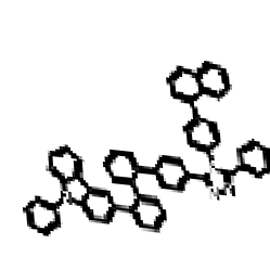 c1ccc(-c2nnc(-c3ccc(-c4ccccc4-c4ccccc4-c4ccc5c(c4)c4ccccc4n5-c4ccccc4)cc3)n2-c2ccc(-c3cccc4ccccc34)cc2)cc1